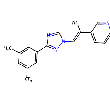 Cc1cc(-c2ncn(/C=C(\C#N)c3cccnc3)n2)cc(C(F)(F)F)c1